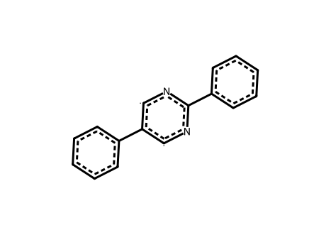 [c]1nc(-c2ccccc2)n[c]c1-c1ccccc1